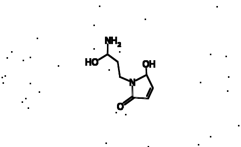 NC(O)CCN1C(=O)C=CC1O